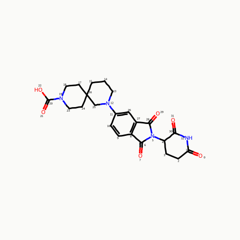 O=C1CCC(N2C(=O)c3ccc(N4CCCC5(CCN(C(=O)O)CC5)C4)cc3C2=O)C(=O)N1